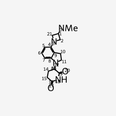 CNC1CN(c2cccc3c2CCN3[C@@H]2CCC(=O)NC2=O)C1